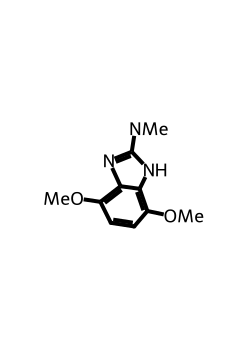 CNc1nc2c(OC)ccc(OC)c2[nH]1